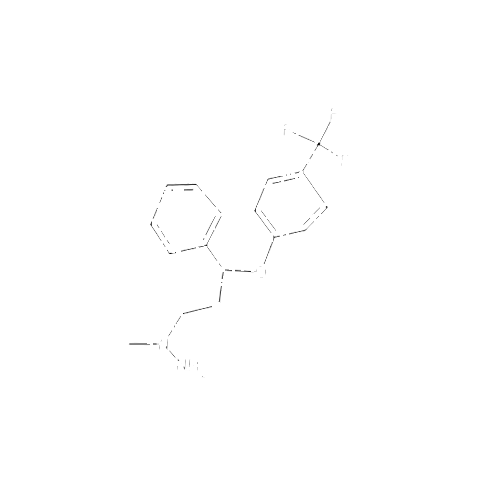 CN(N)CCC(Oc1ccc(C(F)(F)F)cc1)c1ccccc1